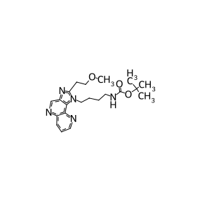 COCCc1nc2cnc3cccnc3c2n1CCCCNC(=O)OC(C)(C)C